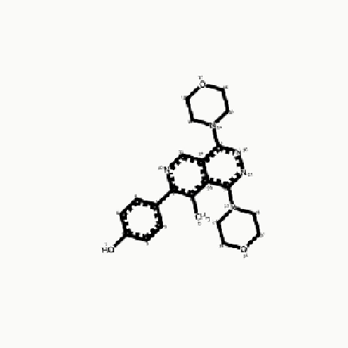 Cc1c(-c2ccc(O)cc2)ncc2c(N3CCOCC3)nnc(N3CCOCC3)c12